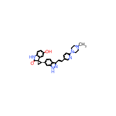 CN1CCN(c2ccc(/C=C/c3n[nH]c4cc([C@H]5C[C@]56C(=O)Nc5ccc(O)cc56)ccc34)cn2)CC1